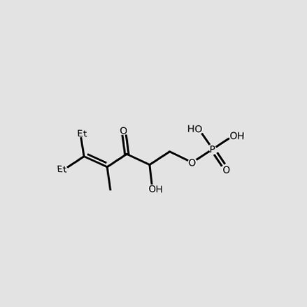 CCC(CC)=C(C)C(=O)C(O)COP(=O)(O)O